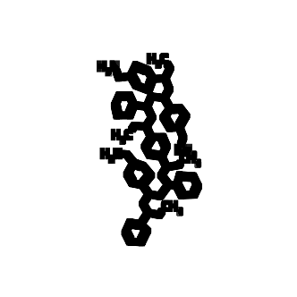 CCC(CC(CC(CC(CC)c1ccccc1)c1ccc(CN)cc1)c1ccccc1)c1ccc(C(CC)CC(CC(CC(CC)c2ccc(CN)cc2)c2ccc(CN)cc2)c2ccccc2)cc1